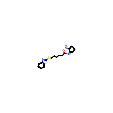 Nc1ccccc1NC(=O)CCCCCSc1nc2ccccc2s1